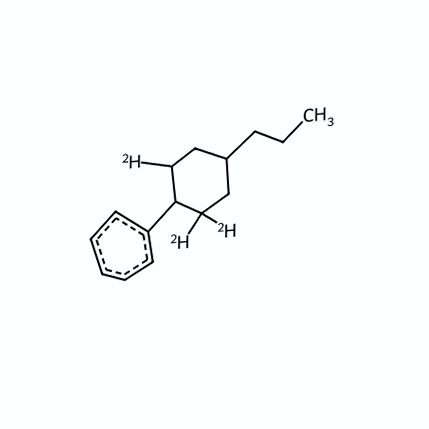 [2H]C1CC(CCC)CC([2H])([2H])C1c1ccccc1